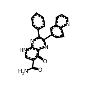 NC(=O)c1c[nH]c2nc(-c3ccccc3)c(-c3ccc4ncccc4c3)nc2c1=O